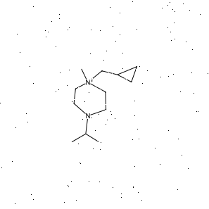 CC(C)N1CC[N+](C)(CC2CC2)CC1